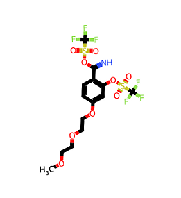 COCCOCCOc1ccc(C(=N)OS(=O)(=O)C(F)(F)F)c(OS(=O)(=O)C(F)(F)F)c1